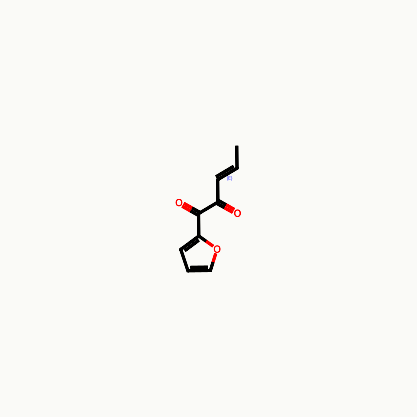 C/C=C/C(=O)C(=O)c1ccco1